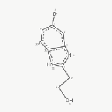 OCCc1nc2cc(Br)cnc2[nH]1